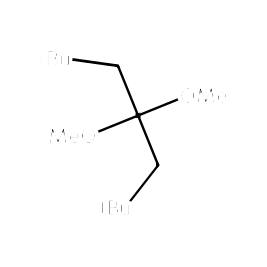 COC(CC(C)(C)C)(CC(C)(C)C)OC